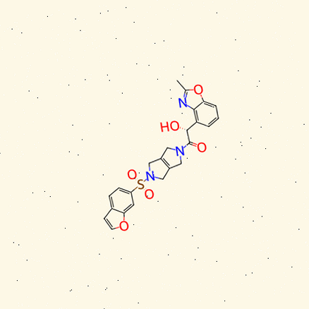 Cc1nc2c([C@@H](O)C(=O)N3CC4=C(C3)CN(S(=O)(=O)c3ccc5ccoc5c3)C4)cccc2o1